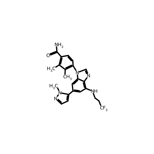 Cc1c(C(N)=O)ccc(-n2cnc3c(NCCC(F)(F)F)cc(-c4ccnn4C)cc32)c1C